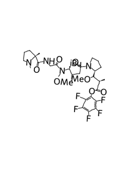 CCC(C)[C@@H](C(CC(=O)N1CCC[C@H]1C(OC)[C@@H](C)C(=O)Oc1c(F)c(F)c(F)c(F)c1F)OC)N(C)C(=O)CNC(=O)[C@@]1(C)CCCN1C